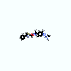 CCN(C)C=Nc1cc(C)c(C(C)=NOCc2nc(-c3ccccc3)cs2)cc1C